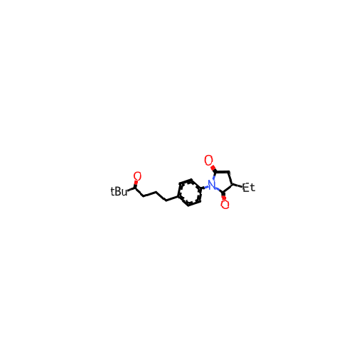 CCC1CC(=O)N(c2ccc(CCCC(=O)C(C)(C)C)cc2)C1=O